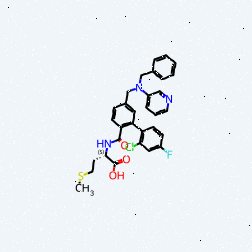 CSCC[C@H](NC(=O)c1ccc(CN(Cc2ccccc2)c2cccnc2)cc1-c1ccc(F)cc1Cl)C(=O)O